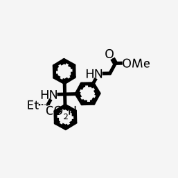 CC[C@H](NC(c1ccccc1)(c1ccccc1)c1cccc(NCC(=O)OC)c1)C(=O)O